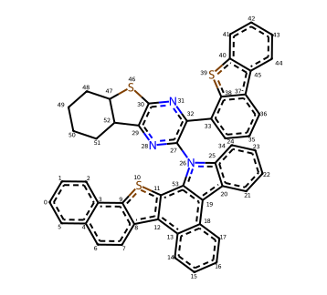 c1ccc2c(c1)ccc1c2sc2c1c1ccccc1c1c3ccccc3n(-c3nc4c(nc3-c3cccc5c3sc3ccccc35)SC3CCCCC43)c21